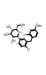 COc1ccc(Cc2cc([C@@H]3O[C@H](CO)[C@@H](O)[C@H](O)[C@H]3O)ccc2Cl)c(F)c1